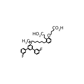 CN(CCCCCCc1cccc(OCCCC(=O)O)c1CCC(=O)O)c1cc(-c2cccc(F)c2)cc(-c2cccc(F)c2)c1